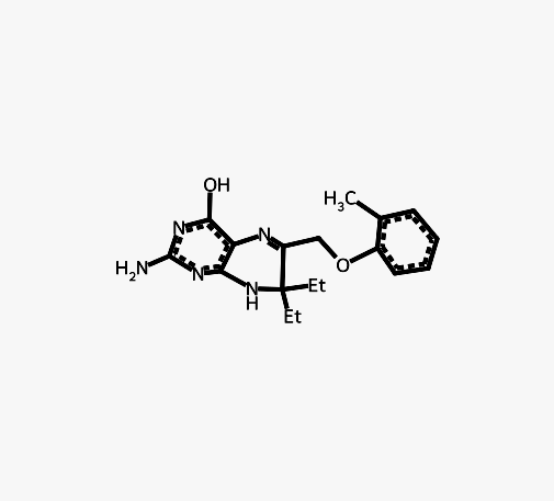 CCC1(CC)Nc2nc(N)nc(O)c2N=C1COc1ccccc1C